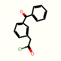 O=C(Cl)Cc1cccc(C(=O)c2ccccc2)c1